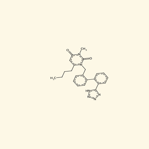 CCCCc1cc(=O)n(C)c(=O)n1Cc1ccccc1-c1ccccc1-c1nnn[nH]1